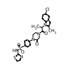 Cc1cc2cc(Cl)ccc2n1C(C)C(=O)N1CCN(c2ccc(S(=O)(=O)Nc3nccs3)cc2)C(=O)C1